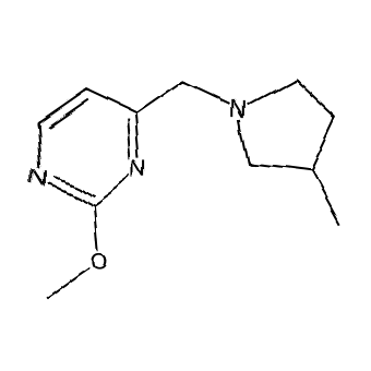 COc1nccc(CN2CCC(C)C2)n1